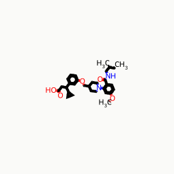 CC[C@H](C)CNC(=O)c1ccc(OC)cc1N1CCC(COc2cccc(C(CC(=O)O)C3CC3)c2)CC1